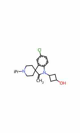 C=C1N(C2CC(O)C2)c2ccc(Cl)cc2C12CCN(C(C)C)CC2